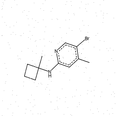 Cc1cc(NC2(C)CCC2)ncc1Br